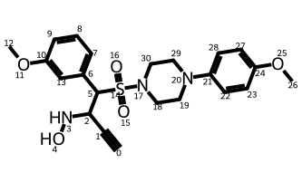 C#CC(NO)C(c1cccc(OC)c1)S(=O)(=O)N1CCN(c2ccc(OC)cc2)CC1